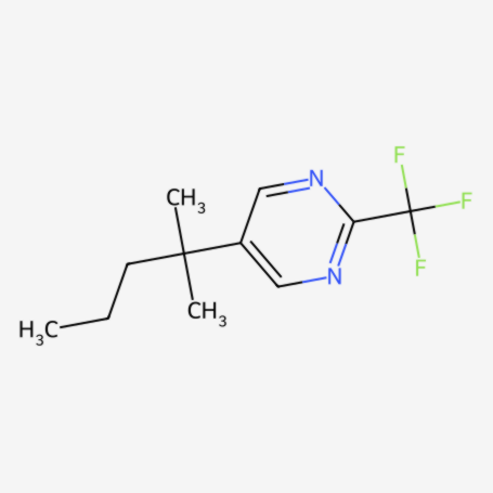 CCCC(C)(C)c1cnc(C(F)(F)F)nc1